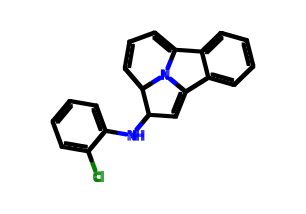 Clc1ccccc1NC1C=c2c3ccccc3c3n2C1C=CC=3